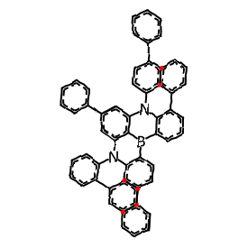 c1ccc(-c2ccc(N3c4cc(-c5ccccc5)cc5c4B(c4ccc(-c6ccccc6)cc4N5c4ccccc4-c4ccccc4)c4cccc(-c5ccccc5)c43)cc2)cc1